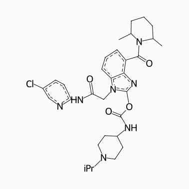 CC(C)N1CCC(NC(=O)Oc2nc3c(C(=O)N4C(C)CCCC4C)cccc3n2CC(=O)Nc2ccc(Cl)cn2)CC1